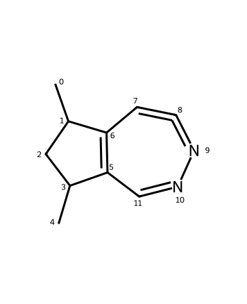 CC1CC(C)C2=C1C=C=NN=C2